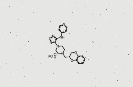 Cl.Cl.c1ccc2c(c1)OC[C@H](CN1CCN(c3nsnc3Nc3ccncc3)CC1)O2